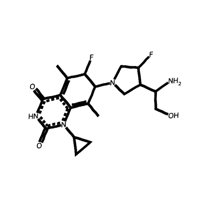 CC1=c2c(=O)[nH]c(=O)n(C3CC3)c2=C(C)C(N2CC(F)C(C(N)CO)C2)C1F